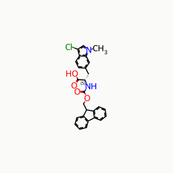 Cn1cc(Cl)c2ccc(C[C@H](NC(=O)OCC3c4ccccc4-c4ccccc43)C(=O)O)cc21